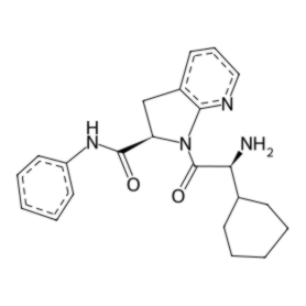 N[C@H](C(=O)N1c2ncccc2C[C@@H]1C(=O)Nc1ccccc1)C1CCCCC1